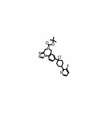 CC(C)(C)OC(=O)N1Cc2cc(C3(Cl)CCC(c4ncccc4F)CC3)ccc2-n2cnnc2C1